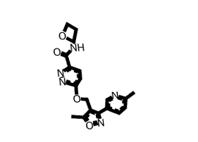 Cc1ccc(-c2noc(C)c2COc2ccc(C(=O)N[C@H]3CCO3)nn2)cn1